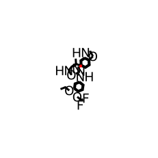 CCOc1cc(NC23N=CC(C)=C(NO2)N3c2ccc3c(c2)NCO3)ccc1OC(F)F